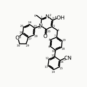 Cc1nc(O)c(Cc2ccc(-c3ccccc3C#N)cc2)c(=O)n1-c1ccc2c(c1)CCO2